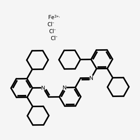 C(=Nc1c(C2CCCCC2)cccc1C1CCCCC1)c1cccc(C=Nc2c(C3CCCCC3)cccc2C2CCCCC2)n1.[Cl-].[Cl-].[Cl-].[Fe+3]